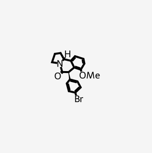 COc1cccc2c1[C@@H](c1ccc(Br)cc1)C(=O)N1CCC[C@@H]21